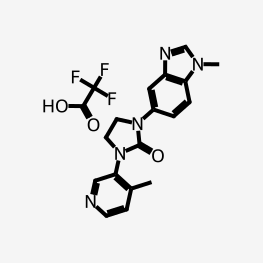 Cc1ccncc1N1CCN(c2ccc3c(c2)ncn3C)C1=O.O=C(O)C(F)(F)F